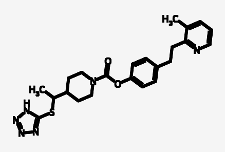 Cc1cccnc1CCc1ccc(OC(=O)N2CCC(C(C)Sc3nnn[nH]3)CC2)cc1